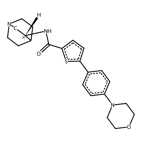 O=C(N[C@H]1CN2CCC1CC2)c1ccc(-c2ccc(N3CCOCC3)cc2)s1